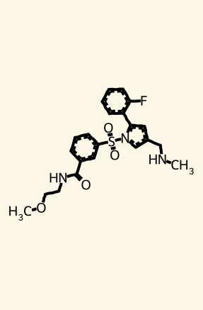 CNCc1cc(-c2ccccc2F)n(S(=O)(=O)c2cccc(C(=O)NCCOC)c2)c1